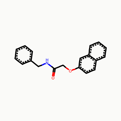 O=C(COc1ccc2ccccc2c1)NCc1ccccc1